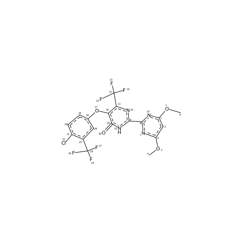 COc1cc(OC)nc(-c2nc(C(F)(F)F)c(Oc3ccc(Cl)c(C(F)(F)F)c3)c(=O)[nH]2)n1